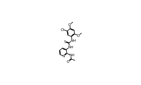 COc1cc(OC)c(NC(=S)Nc2cccnc2NC(C)=O)cc1Cl